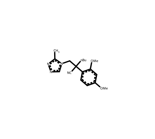 CCCCC(C#N)(Cn1cnnc1C)c1ccc(OC)cc1OC